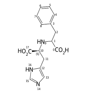 O=C(O)C(Cc1ccccc1)N[C@@H](Cc1cnc[nH]1)C(=O)O